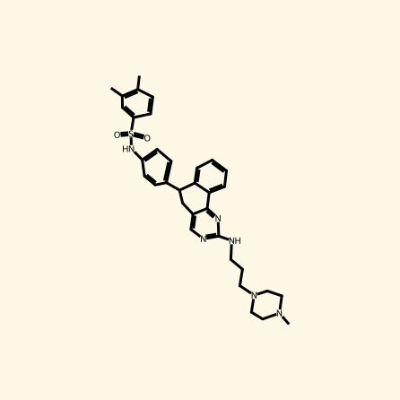 Cc1ccc(S(=O)(=O)Nc2ccc(C3Cc4cnc(NCCCN5CCN(C)CC5)nc4-c4ccccc43)cc2)cc1C